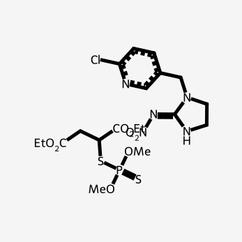 CCOC(=O)CC(SP(=S)(OC)OC)C(=O)OCC.O=[N+]([O-])/N=C1\NCCN1Cc1ccc(Cl)nc1